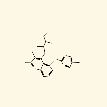 Cc1nc2cccc(Oc3ncc(Cl)cn3)c2c(CC(F)C(F)CF)c1C